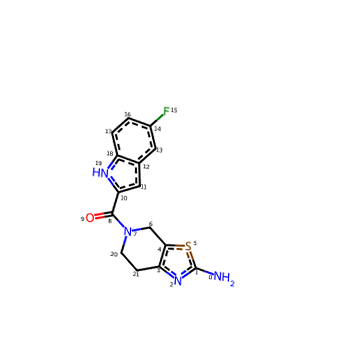 Nc1nc2c(s1)CN(C(=O)c1cc3cc(F)ccc3[nH]1)CC2